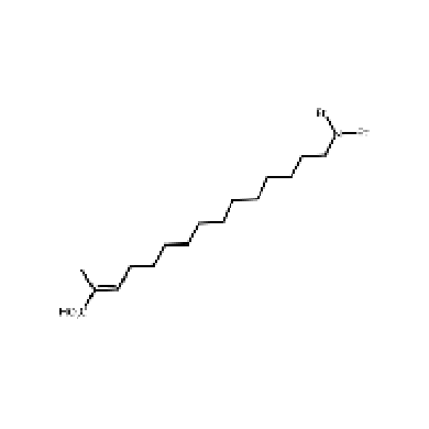 CCN(CC)CCCCCCCCCCCCC=C(C)C(=O)O